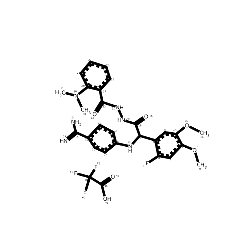 COc1cc(F)c(C(Nc2ccc(C(=N)N)cc2)C(=O)NNC(=O)c2ccccc2N(C)C)cc1OC.O=C(O)C(F)(F)F